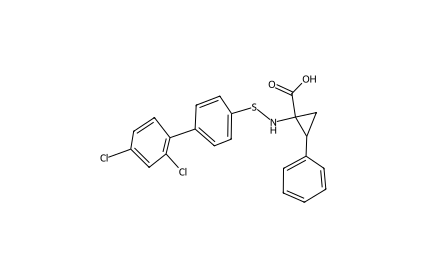 O=C(O)C1(NSc2ccc(-c3ccc(Cl)cc3Cl)cc2)CC1c1ccccc1